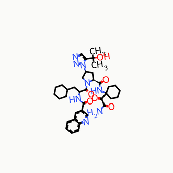 CC(C)(O)c1cnnn1[C@H]1C[C@@H](C(=O)NC2(C(=O)C(N)=O)CCCCC2)N(C(=O)C(CC2CCCCC2)NC(=O)c2cnc3ccccc3c2)C1